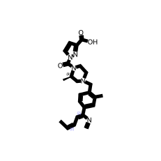 C=N/C(=C\C=C/C)c1ccc(CN2CCN(C(=O)n3ccc(C(=O)O)n3)[C@H](C)C2)c(C)c1